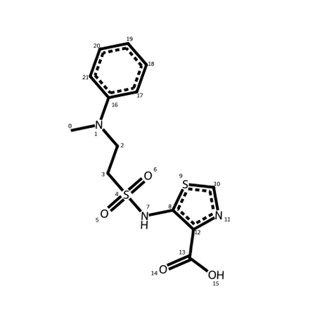 CN(CCS(=O)(=O)Nc1scnc1C(=O)O)c1ccccc1